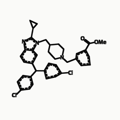 COC(=O)c1cccc(CN2CCC(Cn3c(C4CC4)nc4ccc(C(c5ccc(Cl)cc5)c5ccc(Cl)cc5)cc43)CC2)c1